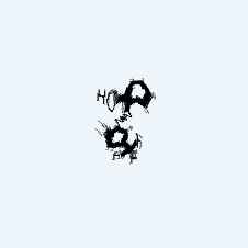 Oc1ccccc1N=Nc1cccc(C(F)(F)F)c1